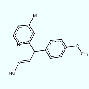 COc1ccc(C(C=NO)c2cc(Br)ccn2)cc1